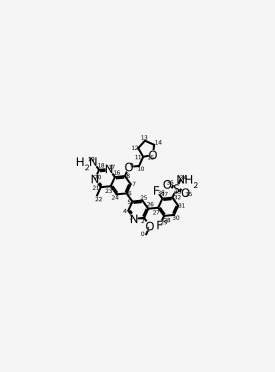 COc1ncc(-c2cc(OCC3CCCO3)c3nc(N)nc(C)c3c2)cc1-c1c(F)ccc(S(N)(=O)=O)c1F